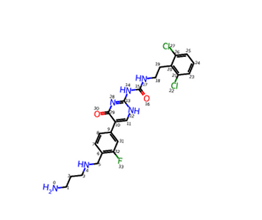 NCCCNCc1ccc(-c2c[nH]c(NC(=O)NCCc3c(Cl)cccc3Cl)nc2=O)cc1F